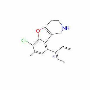 C=C/C(=C\C)c1cc(C)c(Cl)c2oc3c(c12)CNCC3